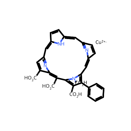 O=C(O)C1=Cc2cc3ccc(cc4nc(cc5c(-c6ccccc6)c(C(=O)O)c(c(C(=O)O)c1n2)n5C(=O)O)C=C4)[nH]3.[Cu+2]